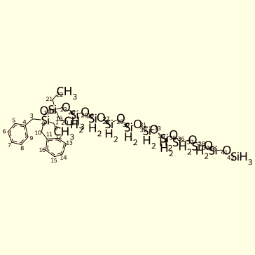 CC[Si](Cc1ccccc1)(Cc1ccccc1)O[Si](CC)(CC)O[SiH2]O[SiH2]O[SiH2]O[SiH2]O[SiH2]O[SiH2]O[SiH2]O[SiH2]O[SiH2]O[SiH3]